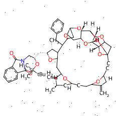 C=C1C[C@@H]2CCC34CC5O[C@H]6[C@@H](O3)[C@H]3OC(CC[C@@H]3O[C@H]6[C@H]5O4)CC(=O)C(Cc3ccccc3)C3C(C[C@H]4O[C@@H](CCC1O2)C[C@@H](C)C4=C)O[C@H](C[C@@H](CN1C(=O)c2ccccc2C1=O)O[Si](C)(C)C(C)(C)C)[C@@H]3C